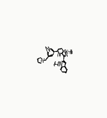 c1ccc2[nH]c(-c3n[nH]c4ccc(-c5cncc(CN6CCCC6)c5)nc34)cc2c1